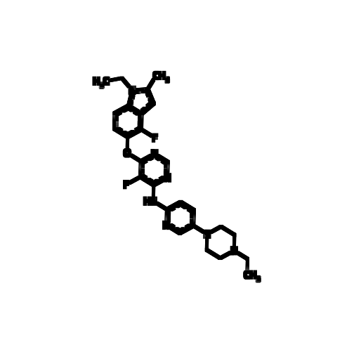 CCN1CCN(c2ccc(Nc3ncnc(Oc4ccc5c(cc(C)n5CC)c4F)c3F)nc2)CC1